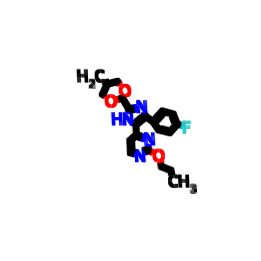 C=C1COC(c2nc(-c3ccc(F)cc3)c(-c3ccnc(OCCC)n3)[nH]2)OC1